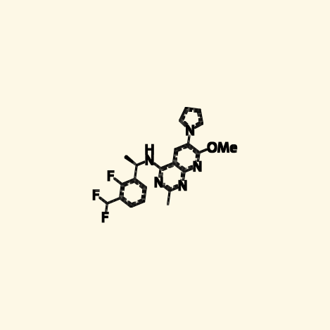 COc1nc2nc(C)nc(N[C@H](C)c3cccc(C(F)F)c3F)c2cc1-n1cccc1